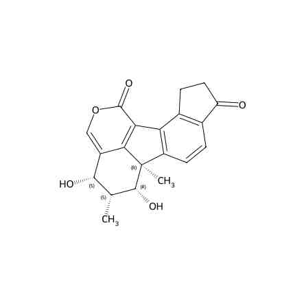 C[C@@H]1[C@H](O)c2coc(=O)c3c2[C@@](C)(c2ccc4c(c2-3)CCC4=O)[C@@H]1O